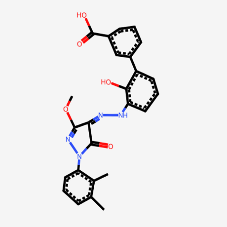 COC1=NN(c2cccc(C)c2C)C(=O)C1=NNc1cccc(-c2cccc(C(=O)O)c2)c1O